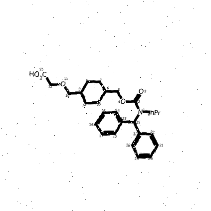 CCCN(C(=O)OCC1CCC(COCC(=O)O)CC1)C(c1ccccc1)c1ccccc1